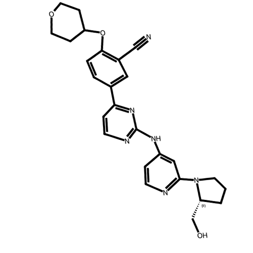 N#Cc1cc(-c2ccnc(Nc3ccnc(N4CCC[C@@H]4CO)c3)n2)ccc1OC1CCOCC1